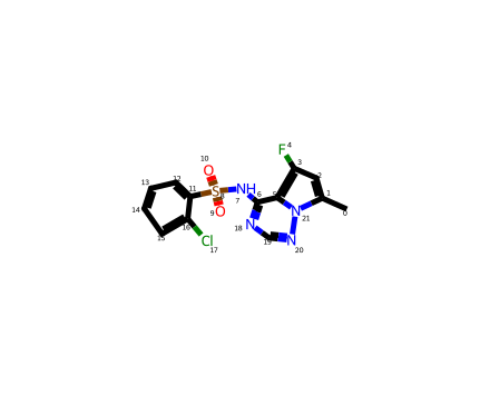 Cc1cc(F)c2c(NS(=O)(=O)c3ccccc3Cl)ncnn12